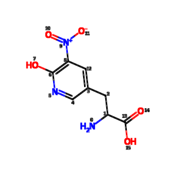 NC(Cc1cnc(O)c([N+](=O)[O-])c1)C(=O)O